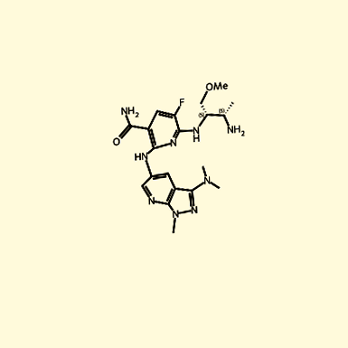 COC[C@@H](Nc1nc(Nc2cnc3c(c2)c(N(C)C)nn3C)c(C(N)=O)cc1F)[C@H](C)N